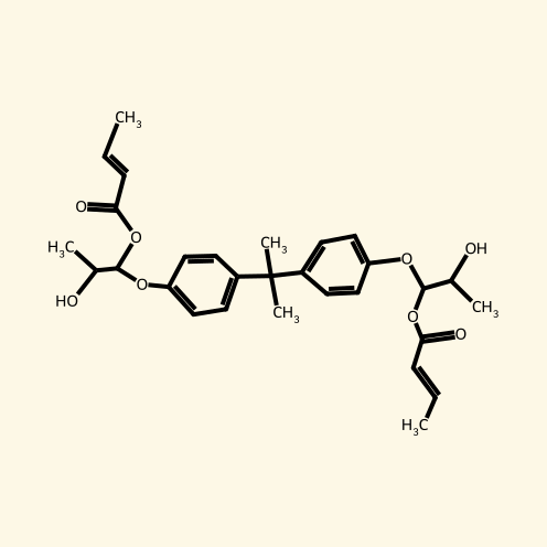 CC=CC(=O)OC(Oc1ccc(C(C)(C)c2ccc(OC(OC(=O)C=CC)C(C)O)cc2)cc1)C(C)O